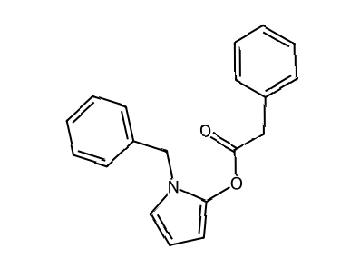 O=C(Cc1ccccc1)Oc1cccn1Cc1ccccc1